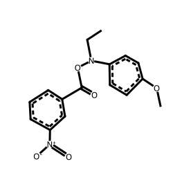 CCN(OC(=O)c1cccc([N+](=O)[O-])c1)c1ccc(OC)cc1